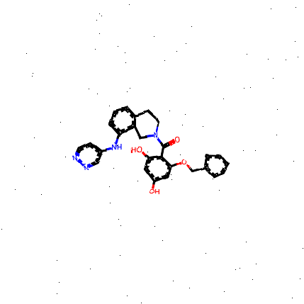 O=C(c1c(O)cc(O)cc1OCc1ccccc1)N1CCc2cccc(Nc3ccnnc3)c2C1